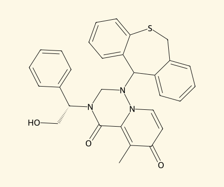 Cc1c2n(ccc1=O)N(C1c3ccccc3CSc3ccccc31)CN([C@H](CO)c1ccccc1)C2=O